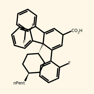 CCCCC[C@H]1CC[C@H](C2(c3ccccc3F)C(c3ccccc3F)=CC(C(=O)O)C=C2c2ccccc2F)CC1